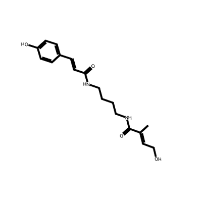 C/C(=C\CO)C(=O)NCCCCNC(=O)/C=C/c1ccc(O)cc1